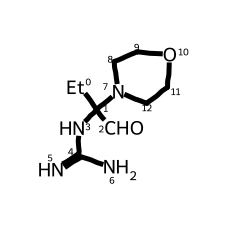 [CH2]CC(C=O)(NC(=N)N)N1CCOCC1